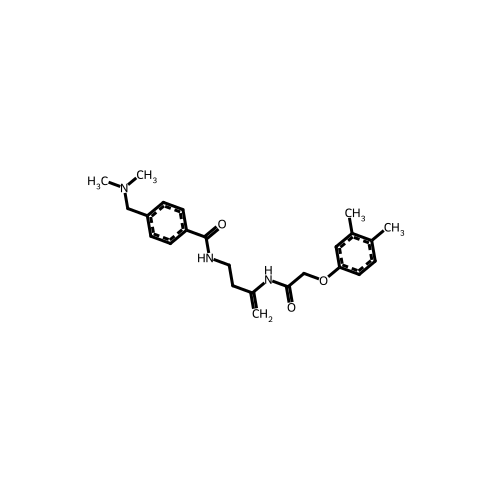 C=C(CCNC(=O)c1ccc(CN(C)C)cc1)NC(=O)COc1ccc(C)c(C)c1